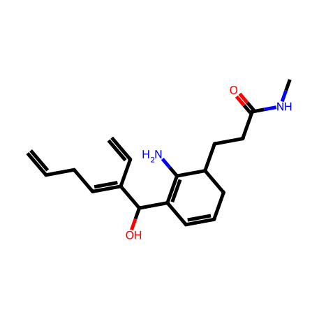 C=CC/C=C(\C=C)C(O)C1=C(N)C(CCC(=O)NC)CC=C1